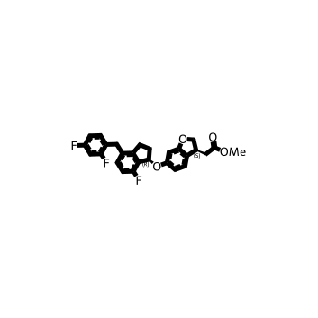 COC(=O)C[C@@H]1COc2cc(O[C@@H]3CCc4c(Cc5ccc(F)cc5F)ccc(F)c43)ccc21